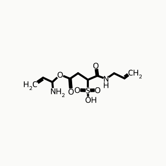 C=CCNC(=O)C(CC(=O)OC(N)C=C)S(=O)(=O)O